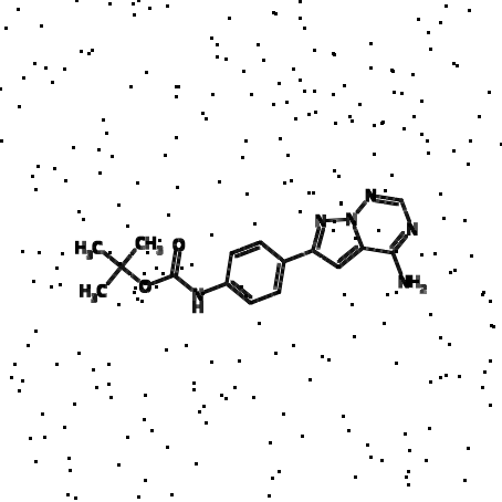 CC(C)(C)OC(=O)Nc1ccc(-c2cc3c(N)ncnn3n2)cc1